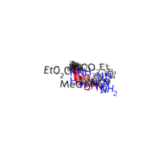 CCOC(=O)C(NP(=O)(NC(C(=O)OCC)[C@@H](C)CC)OCC(OC)C(O)C1(O)C(C)C1/C=N\c1c(N)nc(N)nc1N1CCCC1)[C@@H](C)CC